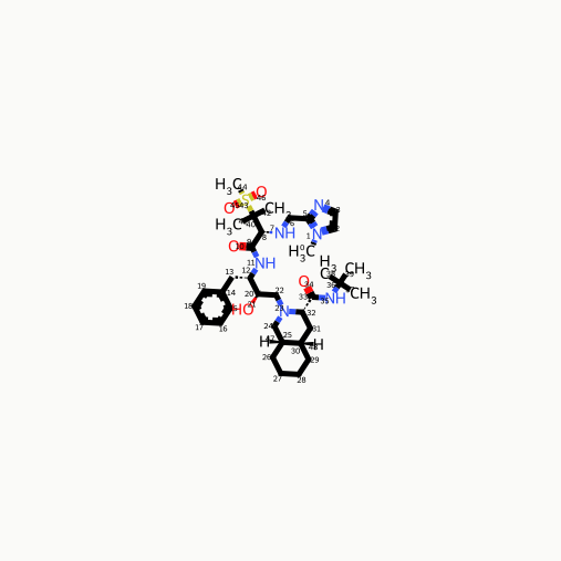 Cn1ccnc1CN[C@H](C(=O)N[C@@H](Cc1ccccc1)[C@H](O)CN1C[C@H]2CCCC[C@H]2C[C@H]1C(=O)NC(C)(C)C)C(C)(C)S(C)(=O)=O